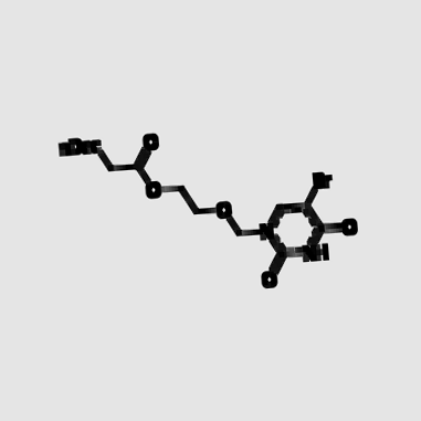 CCCCCCCCCCCC(=O)OCCOCn1cc(Br)c(=O)[nH]c1=O